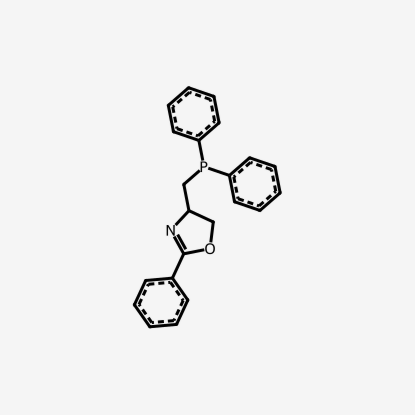 c1ccc(C2=NC(CP(c3ccccc3)c3ccccc3)CO2)cc1